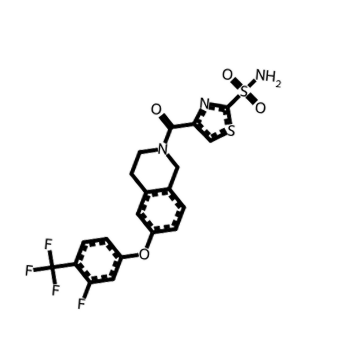 NS(=O)(=O)c1nc(C(=O)N2CCc3cc(Oc4ccc(C(F)(F)F)c(F)c4)ccc3C2)cs1